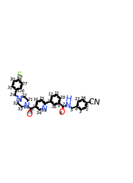 N#Cc1ccc(CNC(=O)c2cccc(-c3ccc(C(=O)N4CCN(Cc5ccc(F)cc5)CC4)cn3)c2)cc1